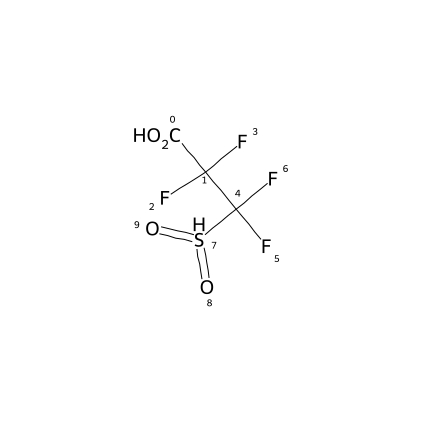 O=C(O)C(F)(F)C(F)(F)[SH](=O)=O